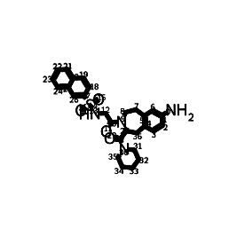 Nc1ccc2c(c1)CCN(C(=O)CNS(=O)(=O)c1ccc3ccccc3c1)C(C(=O)N1CCCCC1)C2